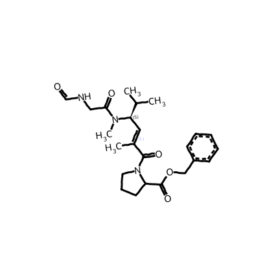 C/C(=C\[C@H](C(C)C)N(C)C(=O)CNC=O)C(=O)N1CCCC1C(=O)OCc1ccccc1